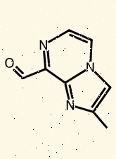 Cc1cn2ccnc(C=O)c2n1